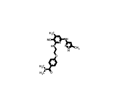 Cc1cc(Nc2cc(C)c(C#N)c(NCCOc3ccc(C(=O)N(C)C)cc3)n2)n[nH]1